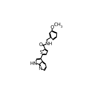 COc1cccc(CNC(=O)c2ccc(-c3c[nH]c4ncccc34)s2)c1